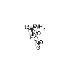 CC(C)(C)C(=O)N[C@@H](CN)C(=O)Nc1ccc(N2CCOCC2=O)cc1F